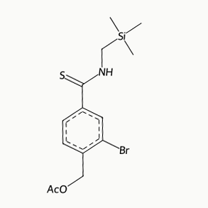 CC(=O)OCc1ccc(C(=S)NC[Si](C)(C)C)cc1Br